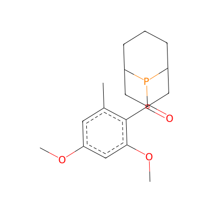 COc1cc(C)c(C(=O)P2C3CCCC2CCC3)c(OC)c1